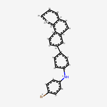 Brc1ccc(Nc2ccc(-c3ccc4c(ccc5ccccc54)c3)cc2)cc1